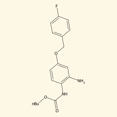 CCCCOC(=O)Nc1ccc(OCc2ccc(F)cc2)cc1N